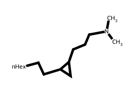 CCCCCCCCC1CC1CCCN(C)C